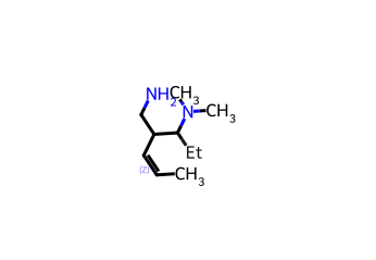 C/C=C\C(CN)C(CC)N(C)C